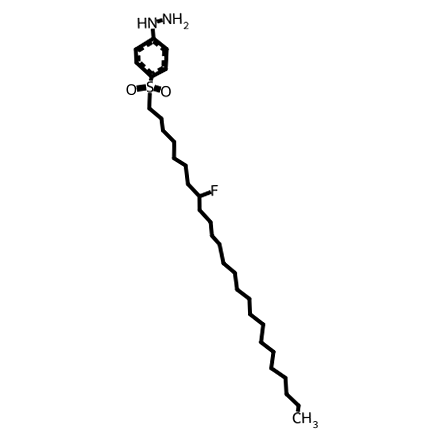 CCCCCCCCCCCCCCCCCC(F)CCCCCCCS(=O)(=O)c1ccc(NN)cc1